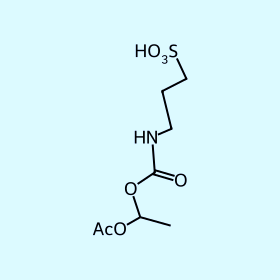 CC(=O)OC(C)OC(=O)NCCCS(=O)(=O)O